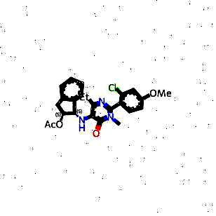 CCc1nc(-c2ccc(OC)cc2Cl)n(C)c(=O)c1N[C@H]1c2ccccc2C[C@@H]1OC(C)=O